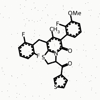 COc1cccc(-c2c(C)c(Cc3c(F)cccc3F)c3n(c2=O)C(C(=O)c2ccsc2)CS3)c1F